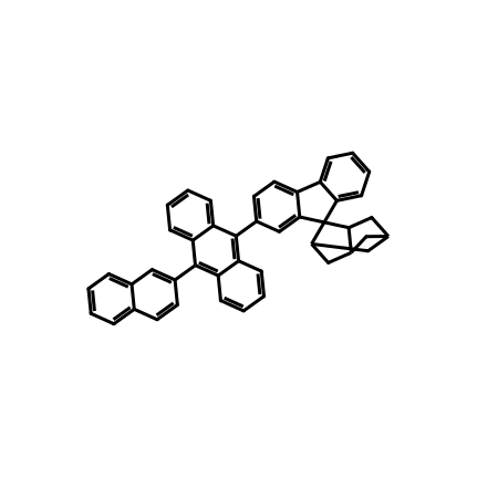 c1ccc2c(c1)-c1ccc(-c3c4ccccc4c(-c4ccc5ccccc5c4)c4ccccc34)cc1C21C2CC3CC(C2)C1C3